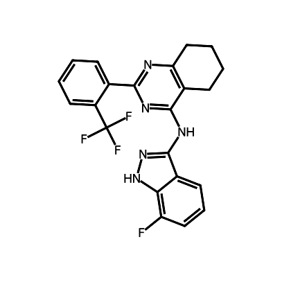 Fc1cccc2c(Nc3nc(-c4ccccc4C(F)(F)F)nc4c3CCCC4)n[nH]c12